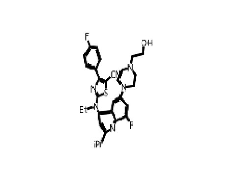 CCN(c1nc(-c2ccc(F)cc2)c(C#N)s1)c1cc(C(C)C)nc2c(F)cc(N3CCN(CCO)CC3)cc12